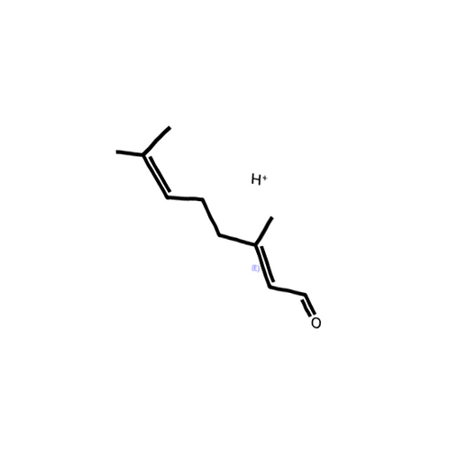 CC(C)=CCC/C(C)=C/C=O.[H+]